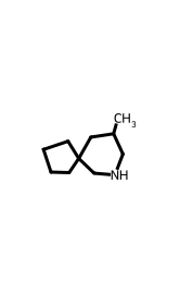 CC1CNCC2(CCCC2)C1